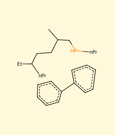 CCCPCC(C)CCC(CC)CCC.c1ccc(-c2ccccc2)cc1